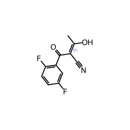 C/C(O)=C(/C#N)C(=O)c1cc(F)ccc1F